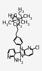 CC(C)(C)[Si](C)(CCCCc1ccc(-n2c(-c3cccnc3N)nc3ccc(Cl)nc32)cc1)C(C)(C)C